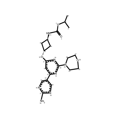 CC(C)OC(=O)N[C@H]1C[C@H](Oc2cc(-c3cnc(N)nc3)nc(N3CCOCC3)n2)C1